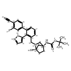 CC(C)(C)OC(=O)N[C@@]12CC[C@@H](C1)N(Cc1cccc(-c3ccc(C#N)c(F)c3)c1-c1ccns1)C2